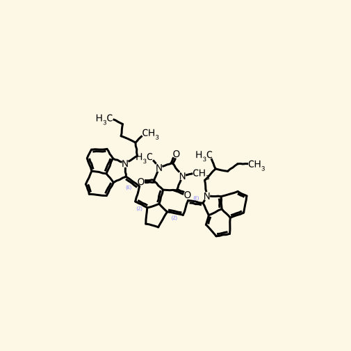 CCCC(C)Cn1/c(=C/C=C2/CC/C(=C/C=c3\c4cccc5cccc(c54)n3CC(C)CCC)C2=C2C(=O)N(C)C(=O)N(C)C2=O)c2cccc3cccc1c32